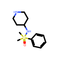 CS(C)(=O)(NC1CCNCC1)c1ccccc1